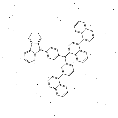 c1cc(-c2cccc3ccccc23)cc(N(c2ccc(-n3c4ccccc4c4ccccc43)cc2)c2ccc(-c3cccc4ccccc34)c3ccccc23)c1